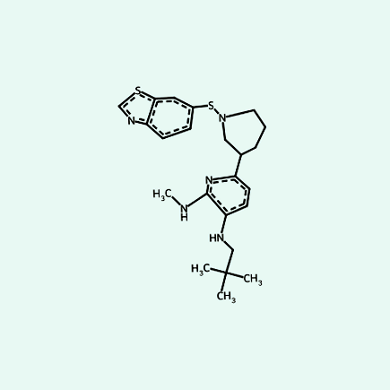 CNc1nc(C2CCCN(Sc3ccc4ncsc4c3)C2)ccc1NCC(C)(C)C